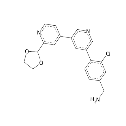 NCc1ccc(-c2cncc(-c3ccnc(C4OCCO4)c3)c2)c(Cl)c1